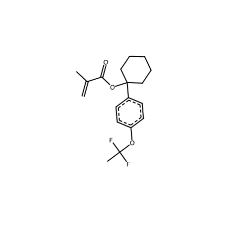 C=C(C)C(=O)OC1(c2ccc(OC(C)(F)F)cc2)CCCCC1